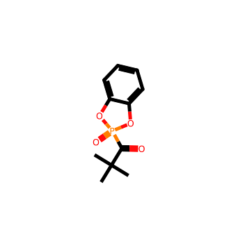 CC(C)(C)C(=O)P1(=O)Oc2ccccc2O1